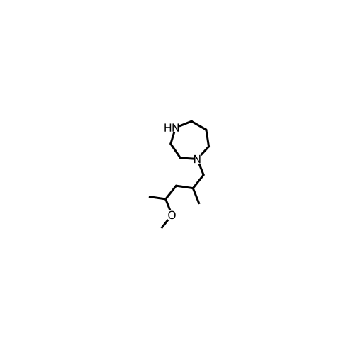 COC(C)CC(C)CN1CCCNCC1